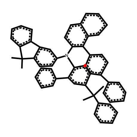 CC(C)(c1ccccc1)c1ccc(N(c2ccc3c(c2)-c2ccccc2C3(C)C)c2ccc3ccccc3c2-c2ccc(-c3ccccc3)cc2)c(-c2ccccc2)c1